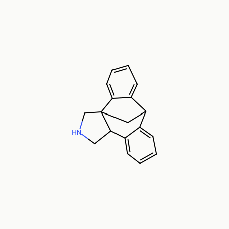 c1ccc2c(c1)C1CC3(CNCC23)c2ccccc21